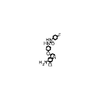 COc1cc2nccc(Oc3ccc(NC(=O)Nc4ccc(F)cc4)cc3)c2cc1N